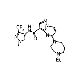 CCN1CCCN(c2ccn3ncc(C(=O)Nc4cn(C)nc4C(F)(F)F)c3n2)CC1